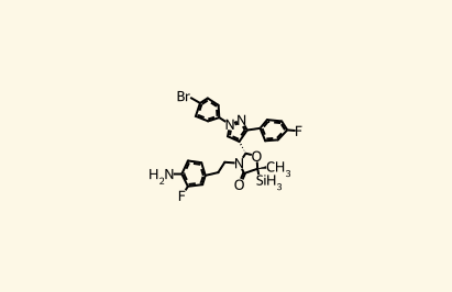 C[C@]1([SiH3])O[C@@H](c2cn(-c3ccc(Br)cc3)nc2-c2ccc(F)cc2)N(CCc2ccc(N)c(F)c2)C1=O